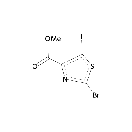 COC(=O)c1nc(Br)sc1I